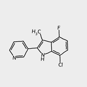 Cc1c(-c2cccnc2)[nH]c2c(Cl)ccc(F)c12